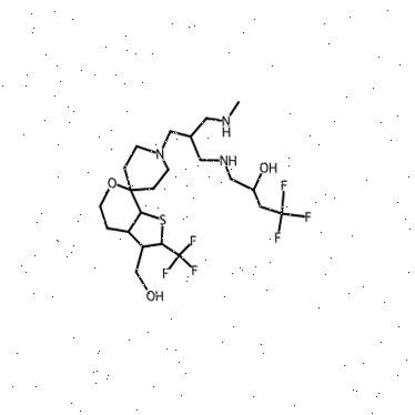 CNCC(CNCC(O)CC(F)(F)F)CN1CCC2(CC1)OCCC1C(CO)C(C(F)(F)F)SC12